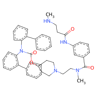 CNCCC(=O)Nc1cccc(C(=O)N(C)CCN2CCC(OC(=O)N(c3ccccc3-c3ccccc3)c3ccccc3-c3ccccc3)CC2)c1